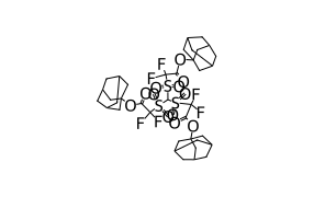 O=C(OC12CC3CC(CC(C3)C1)C2)C(F)(F)S(=O)(=O)C(S(=O)(=O)C(F)(F)C(=O)OC12CC3CC(CC(C3)C1)C2)S(=O)(=O)C(F)(F)C(=O)OC12CC3CC(CC(C3)C1)C2